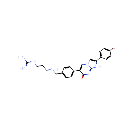 N=C(N)NCCCNCc1ccc(-c2cn3cc(-c4ccc(Br)cc4)[nH]c3nc2=O)cc1